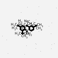 C=[P-](c1ccc(C(C)(C)C)cc1C(C)(C)C)c1ccc(C(C)(C)C)cc1C(C)(C)C.[Na+]